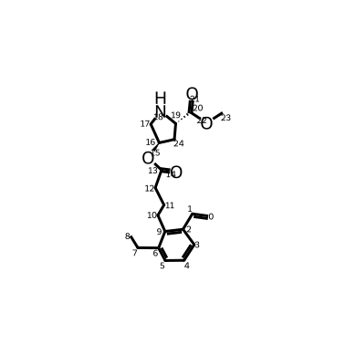 C=Cc1cccc(CC)c1CCCC(=O)O[C@H]1CN[C@H](C(=O)OC)C1